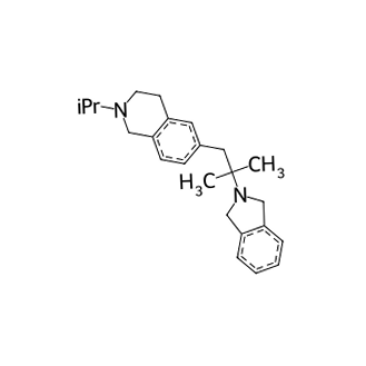 CC(C)N1CCc2cc(CC(C)(C)N3Cc4ccccc4C3)ccc2C1